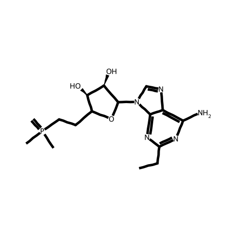 C=P(C)(C)CCC1OC(n2cnc3c(N)nc(CC)nc32)[C@H](O)[C@@H]1O